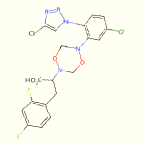 O=C(O)C(Cc1ccc(F)cc1F)N1CON(c2cc(Cl)ccc2-n2cc(Cl)nn2)CO1